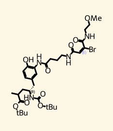 COCCNC(=O)/C(Br)=C\C(=O)NCCCC(=O)Nc1cc(C[C@@H](CC(C)C(=O)OC(C)(C)C)NC(=O)OC(C)(C)C)ccc1O